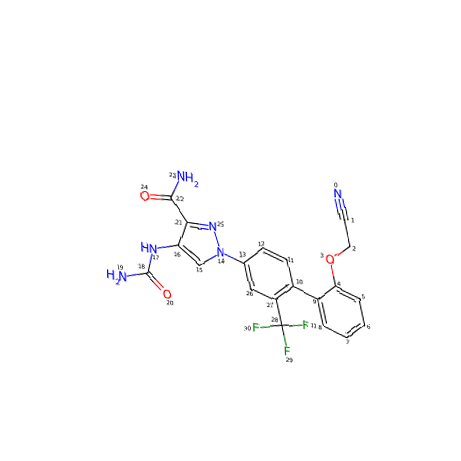 N#CCOc1ccccc1-c1ccc(-n2cc(NC(N)=O)c(C(N)=O)n2)cc1C(F)(F)F